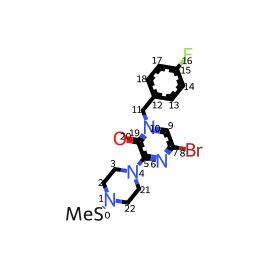 CSN1CCN(c2nc(Br)cn(Cc3ccc(F)cc3)c2=O)CC1